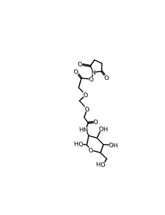 O=C(COCOCC(=O)ON1C(=O)CCC1=O)NC1C(O)OC(CO)C(O)C1O